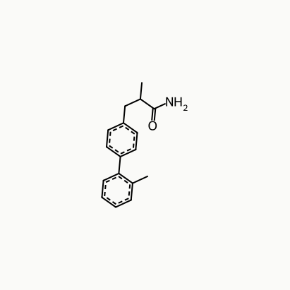 Cc1ccccc1-c1ccc(CC(C)C(N)=O)cc1